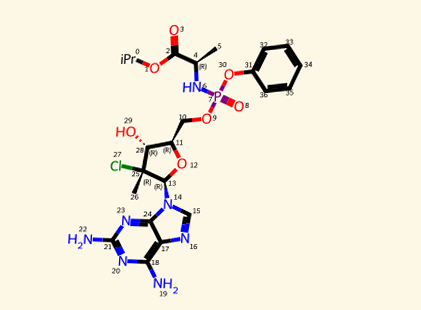 CC(C)OC(=O)[C@@H](C)NP(=O)(OC[C@H]1O[C@@H](n2cnc3c(N)nc(N)nc32)[C@](C)(Cl)[C@@H]1O)Oc1ccccc1